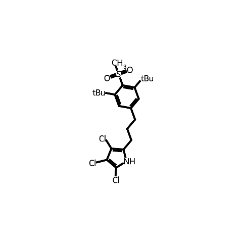 CC(C)(C)c1cc(CCCc2[nH]c(Cl)c(Cl)c2Cl)cc(C(C)(C)C)c1S(C)(=O)=O